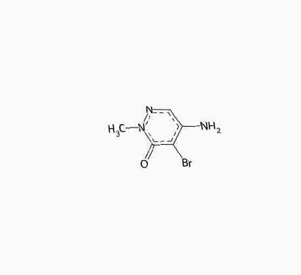 Cn1ncc(N)c(Br)c1=O